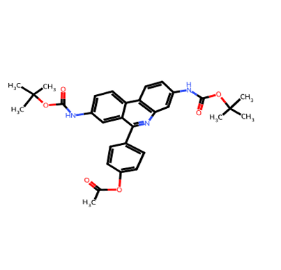 CC(=O)Oc1ccc(-c2nc3cc(NC(=O)OC(C)(C)C)ccc3c3ccc(NC(=O)OC(C)(C)C)cc23)cc1